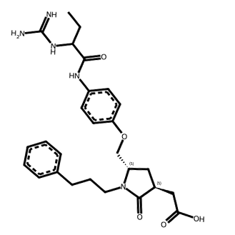 CCC(NC(=N)N)C(=O)Nc1ccc(OC[C@@H]2C[C@@H](CC(=O)O)C(=O)N2CCCc2ccccc2)cc1